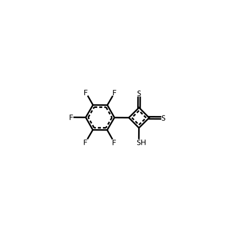 Fc1c(F)c(F)c(-c2c(S)c(=S)c2=S)c(F)c1F